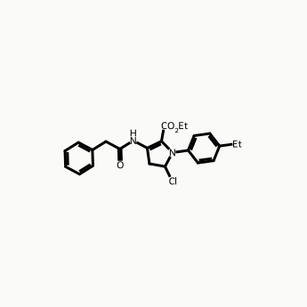 CCOC(=O)C1=C(NC(=O)Cc2ccccc2)CC(Cl)N1c1ccc(CC)cc1